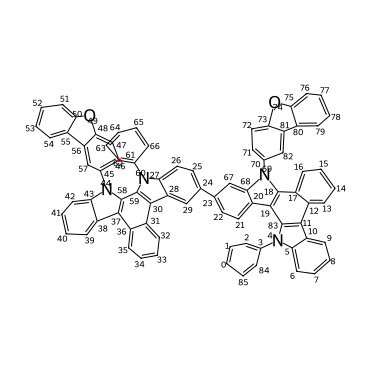 c1ccc(-n2c3ccccc3c3c4ccccc4c4c(c5ccc(-c6ccc7c(c6)c6c8ccccc8c8c9ccccc9n(-c9ccc%10oc%11ccccc%11c%10c9)c8c6n7-c6ccccc6)cc5n4-c4ccc5oc6ccccc6c5c4)c32)cc1